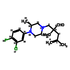 C=C(C)CC(C=O)(CN1CCN(c2ccc(F)c(Cl)c2)[C@@H](C)C1)OC